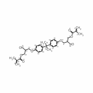 C=C(C)C(=O)OCC(COc1ccc(C(C)(C)c2ccc(OCC(COC(=O)C(=C)C)N=O)cc2)cc1)N=O